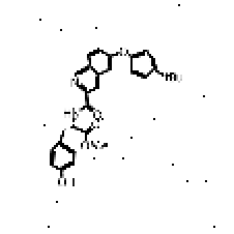 COC(=O)[C@H](Cc1ccc(O)cc1)NC(=O)c1cc2cc(Oc3ccc(C(C)(C)C)cc3)ccc2cn1